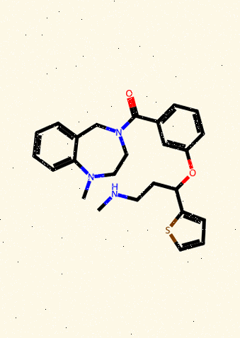 CNCCC(Oc1cccc(C(=O)N2CCN(C)c3ccccc3C2)c1)c1cccs1